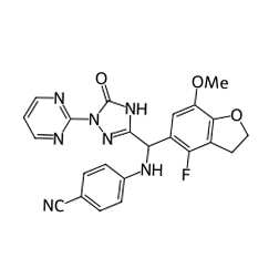 COc1cc(C(Nc2ccc(C#N)cc2)c2nn(-c3ncccn3)c(=O)[nH]2)c(F)c2c1OCC2